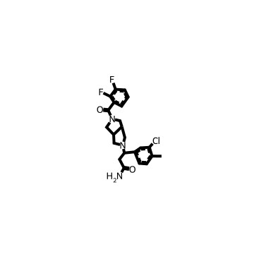 Cc1ccc(C(CC(N)=O)N2CC3CN(C(=O)c4cccc(F)c4F)CC3C2)cc1Cl